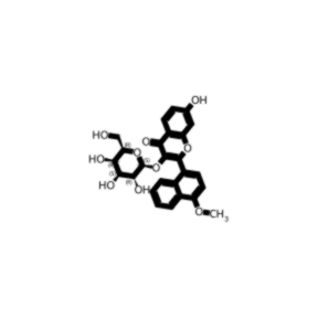 COc1ccc(-c2oc3cc(O)ccc3c(=O)c2O[C@@H]2O[C@H](CO)[C@H](O)[C@H](O)[C@H]2O)c2ccccc12